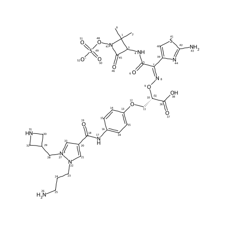 CC1(C)C(NC(=O)C(=NO[C@@H](COc2ccc(NC(=O)c3cn(CCCN)[n+](CC4CNC4)c3)cc2)C(=O)O)c2csc(N)n2)C(=O)N1OS(=O)(=O)[O-]